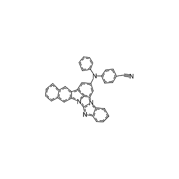 N#Cc1ccc(N(c2ccccc2)c2cc3c4cc5ccccc5cc4n4c3c(c2)n2c3ccccc3nc24)cc1